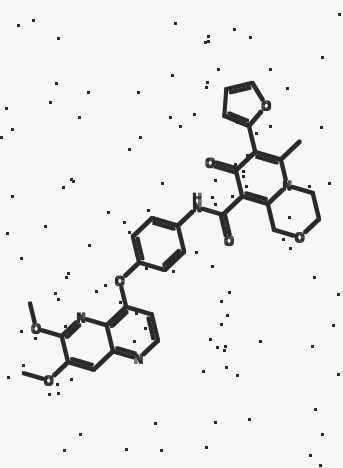 COc1cc2nccc(Oc3ccc(NC(=O)c4c5n(c(C)c(-c6ccco6)c4=O)CCOC5)cc3)c2nc1OC